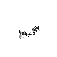 CS(=O)(=O)Oc1cccc2c1COC(c1csc(C3CCN(C(=O)Cn4ccc(C(C5CC=CC(C(F)F)CC5C(F)F)S(=O)(=O)O)n4)CC3)n1)OC2